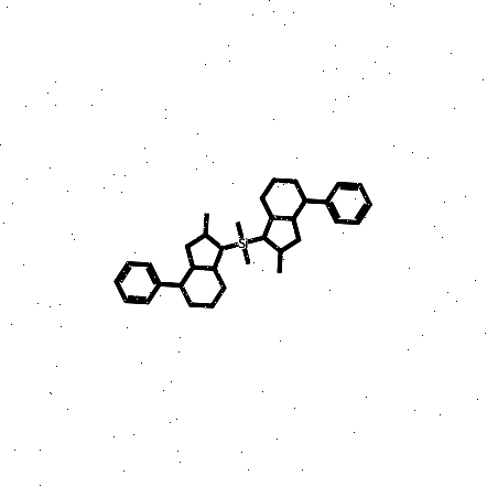 CC1CC2C(c3ccccc3)CCCC2C1[Si](C)(C)C1C(C)CC2C(c3ccccc3)CCCC21